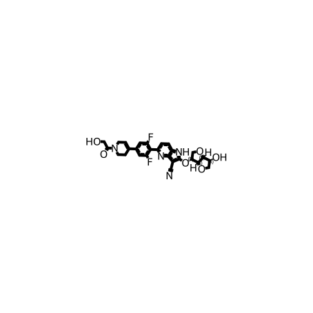 N#Cc1c(O[C@@H]2CO[C@H]3[C@@H]2OC[C@H]3O)[nH]c2ccc(-c3c(F)cc(C4=CCN(C(=O)CO)CC4)cc3F)nc12